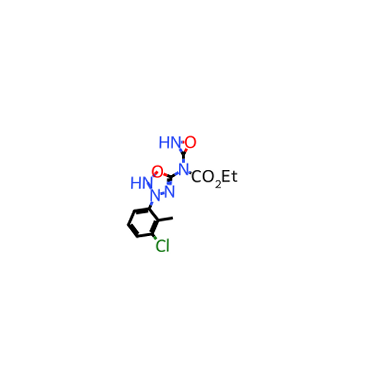 CCOC(=O)N(C1=NN(c2cccc(Cl)c2C)NO1)C1NO1